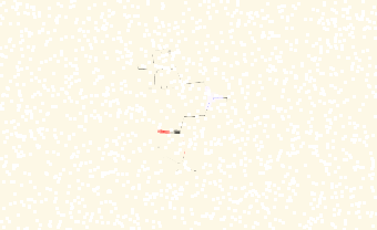 CCN(CCC[Si](C)(OC)OC)CCC(=O)O[Si](CC)(CC)CC